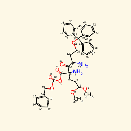 COC(CCC(N)(C(=O)OC(=O)OCc1ccccc1)C(=O)C(N)CCOC(c1ccccc1)(c1ccccc1)c1ccccc1)OC